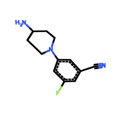 N#Cc1cc(F)cc(N2CCC(N)CC2)c1